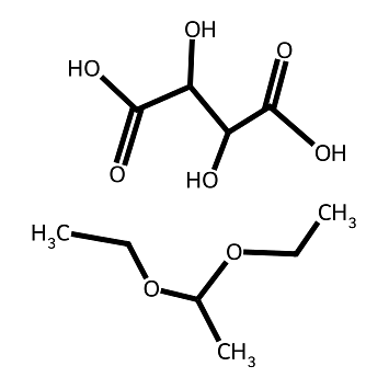 CCOC(C)OCC.O=C(O)C(O)C(O)C(=O)O